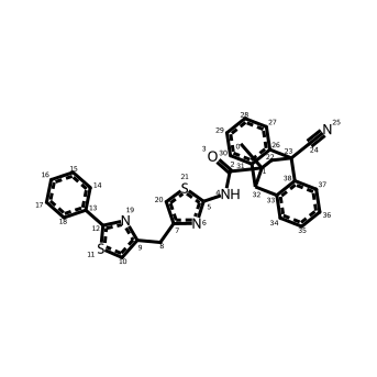 CC1(C(=O)Nc2nc(Cc3csc(-c4ccccc4)n3)cs2)CC2(C#N)c3ccccc3C1c1ccccc12